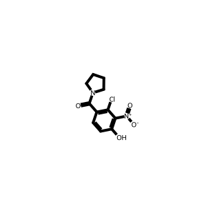 O=C(c1ccc(O)c([N+](=O)[O-])c1Cl)N1CCCC1